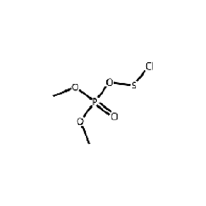 COP(=O)(OC)OSCl